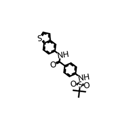 CC(C)(C)S(=O)(=O)Nc1ccc(C(=O)Nc2ccc3sccc3c2)cc1